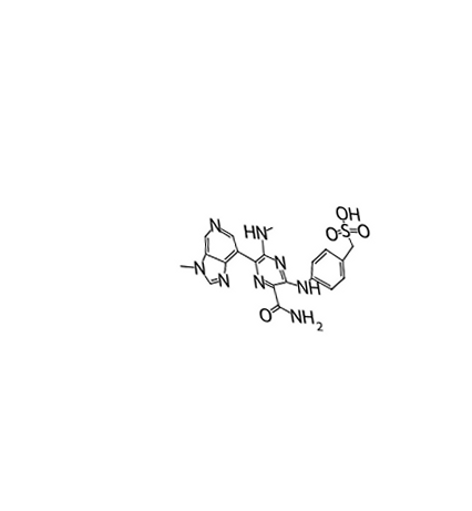 CNc1nc(Nc2ccc(CS(=O)(=O)O)cc2)c(C(N)=O)nc1-c1cncc2c1ncn2C